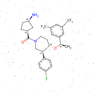 C[C@@H](O[C@H]1CCN(C(=O)[C@H]2CC[C@@H](N)C2)C[C@@H]1c1ccc(F)cc1)c1cc(C(F)(F)F)cc(C(F)(F)F)c1